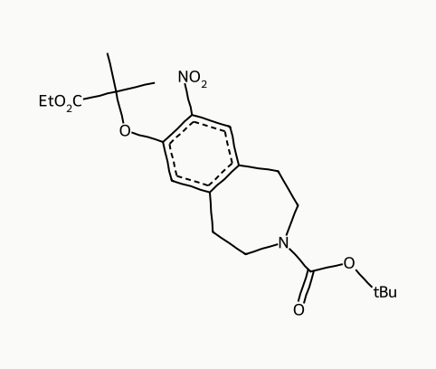 CCOC(=O)C(C)(C)Oc1cc2c(cc1[N+](=O)[O-])CCN(C(=O)OC(C)(C)C)CC2